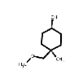 COC[C@]1(C)CC[C@@H](O)CC1